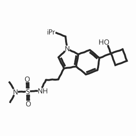 CC(C)Cn1cc(CCNS(=O)(=O)N(C)C)c2ccc(C3(O)CCC3)cc21